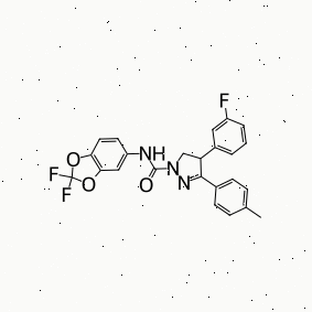 Cc1ccc(C2=NN(C(=O)Nc3ccc4c(c3)OC(F)(F)O4)CC2c2cccc(F)c2)cc1